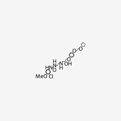 COc1ccc(NC(=O)NCCNCC(O)COc2ccc(OCCOC3CCCC3)cc2)cc1Cl